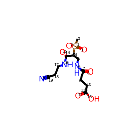 CS(=O)(=O)C(CNC(=O)CCC(=O)O)C(=O)NCCC#N